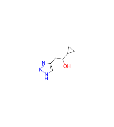 OC(Cc1c[nH]nn1)C1CC1